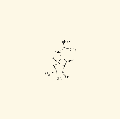 C=C1N2C(=O)[C@@H](NC(C)CCCCCC)[C@H]2SC1(C)C